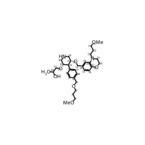 COCCCOCc1ccc(C2[C@@H](OCc3ccc4c(c3)N(CCCOC)CCO4)CNC[C@H]2OCC(C)O)cc1